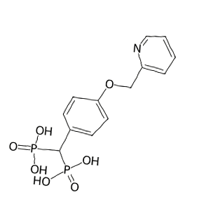 O=P(O)(O)C(c1ccc(OCc2ccccn2)cc1)P(=O)(O)O